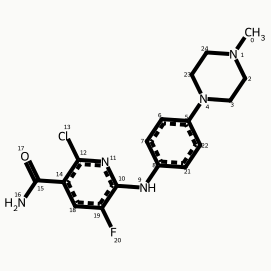 CN1CCN(c2ccc(Nc3nc(Cl)c(C(N)=O)cc3F)cc2)CC1